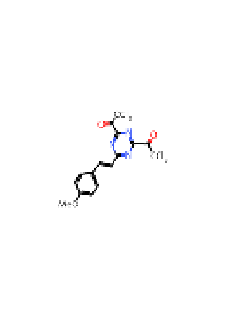 COc1ccc(C=Cc2nc(C(=O)C(Cl)(Cl)Cl)nc(C(=O)C(Cl)(Cl)Cl)n2)cc1